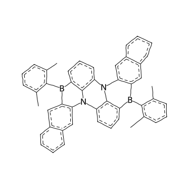 Cc1cccc(C)c1B1c2cc3ccccc3cc2N2c3cccc4c3N(c3cc5ccccc5cc3B4c3c(C)cccc3C)c3cccc1c32